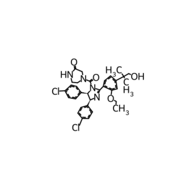 CCOc1cc(C(C)(C)CO)ccc1C1=N[C@@H](c2ccc(Cl)cc2)[C@@H](c2ccc(Cl)cc2)N1C(=O)N1CCNC(=O)C1